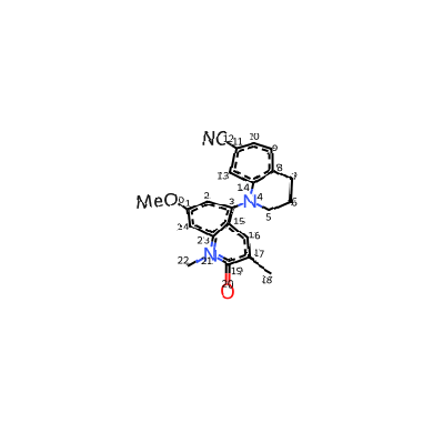 COc1cc(N2CCCc3ccc(C#N)cc32)c2cc(C)c(=O)n(C)c2c1